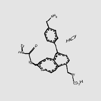 CCNC(=O)Nc1cc2c(-c3ccc(CN)cc3)ccc(CNC(=O)O)c2cn1.Cl